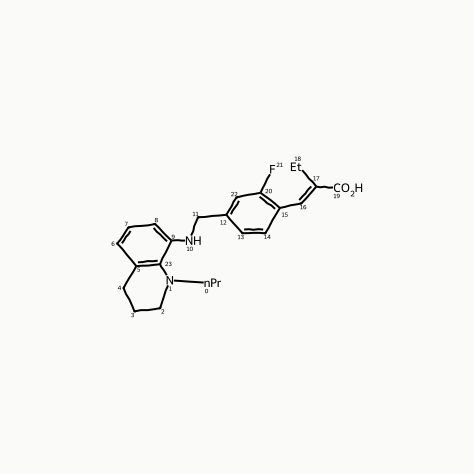 CCCN1CCCc2cccc(NCc3ccc(/C=C(\CC)C(=O)O)c(F)c3)c21